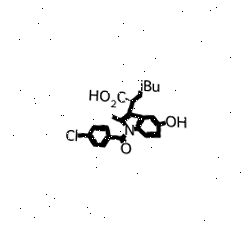 CCC(C)C[C@@H](C(=O)O)c1c(C)n(C(=O)c2ccc(Cl)cc2)c2ccc(O)cc12